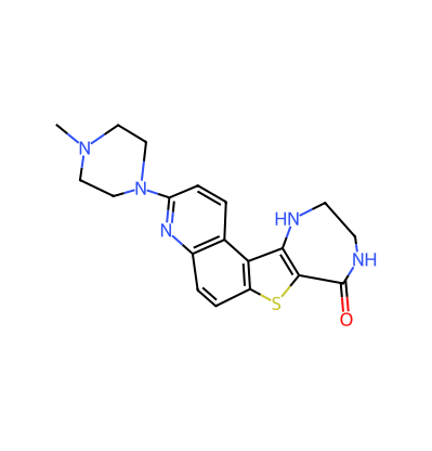 CN1CCN(c2ccc3c(ccc4sc5c(c43)NCCNC5=O)n2)CC1